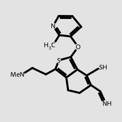 CNCCc1sc(Oc2cccnc2C)c2c1CCC(C=N)=C2S